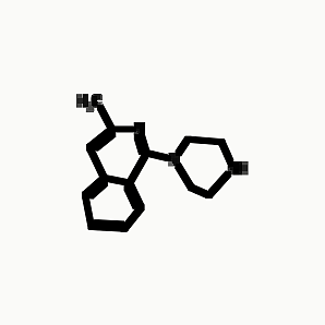 Cc1cc2ccccc2c(N2CCNCC2)n1